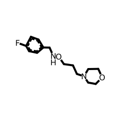 Fc1ccc(CNOCCCN2CCOCC2)cc1